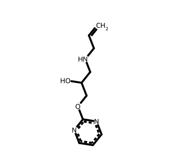 C=CCNCC(O)COc1ncccn1